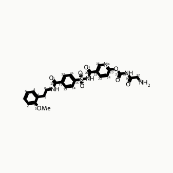 COc1ccccc1CCNC(=O)c1ccc(S(=O)(=O)NC(=O)c2ccc(OC(=O)NC(=O)CN)nc2)cc1